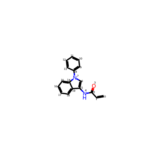 C=CC(=O)Nc1cn(-c2ccccc2)c2ccccc12